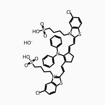 O=S(=O)(O)CCCCN1C(=CC=C2CCC(C=Cc3sc4ccc(Cl)cc4[n+]3CCCCS(=O)(=O)O)=C2N(c2ccccc2)c2ccccc2)Sc2ccc(Cl)cc21.[OH-]